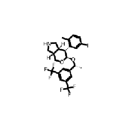 Cc1ccc(I)cc1[C@@H]1[C@@H](O[C@H](C)c2cc(C(F)(F)F)cc(C(F)(F)F)c2)OC[C@@H]2CNC[C@H]21